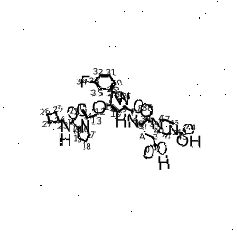 O=C(O)CC[C@H](NC(=O)c1cc(OCC(=O)N2CCC[C@H]2C(=O)NC2CCC2)n(-c2cccc(F)c2)n1)C(=O)N1CCN(C(=O)O)CC1